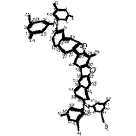 Cc1cc(C)cc(N(c2cc(C)cc(C)c2)c2ccc3cc4c(cc3c2)oc2c(C)c3oc5cc6cc(N(c7cc(C)cc(C)c7)c7cc(C)cc(C)c7)ccc6cc5c3cc24)c1